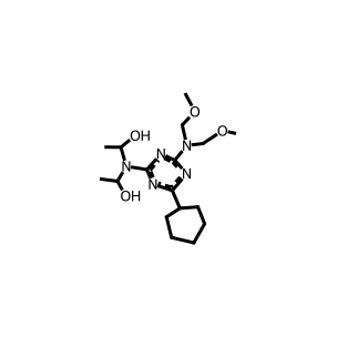 COCN(COC)c1nc(C2CCCCC2)nc(N(C(C)O)C(C)O)n1